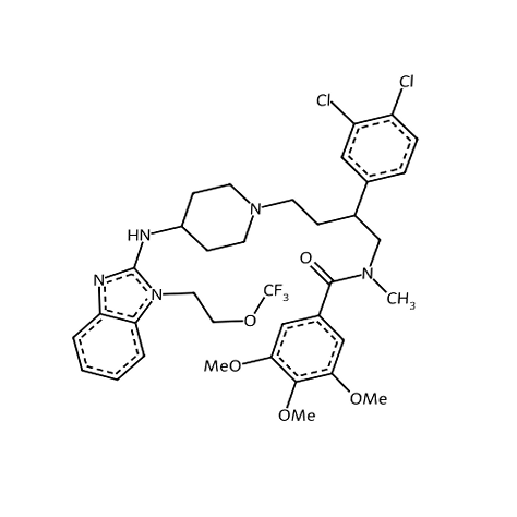 COc1cc(C(=O)N(C)CC(CCN2CCC(Nc3nc4ccccc4n3CCOC(F)(F)F)CC2)c2ccc(Cl)c(Cl)c2)cc(OC)c1OC